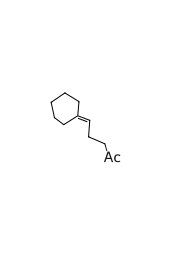 CC(=O)CCC=C1CCCCC1